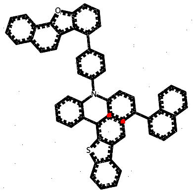 c1ccc(N(c2ccc(-c3cccc4ccccc34)cc2)c2ccc(-c3cccc4oc5c6ccccc6ccc5c34)cc2)c(-c2cccc3c2sc2ccccc23)c1